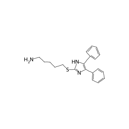 NCCCCCSc1nc(-c2ccccc2)c(-c2ccccc2)[nH]1